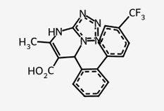 CC1=C(C(=O)O)C(c2ccccc2-c2ccc(C(F)(F)F)cc2)n2nnnc2N1